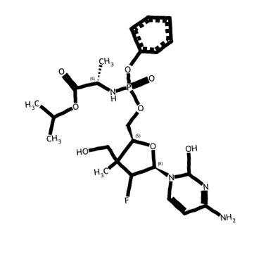 CC(C)OC(=O)[C@H](C)NP(=O)(OC[C@H]1O[C@@H](N2C=CC(N)=NC2O)C(F)C1(C)CO)Oc1ccccc1